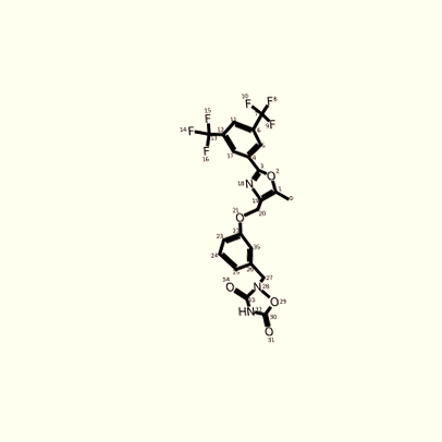 Cc1oc(-c2cc(C(F)(F)F)cc(C(F)(F)F)c2)nc1COc1cccc(Cn2oc(=O)[nH]c2=O)c1